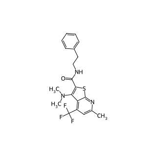 Cc1cc(C(F)(F)F)c2c(N(C)C)c(C(=O)NCCc3ccccc3)sc2n1